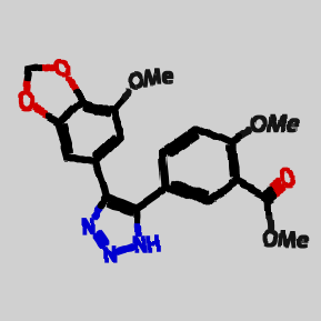 COC(=O)c1cc(-c2[nH]nnc2-c2cc(OC)c3c(c2)OCO3)ccc1OC